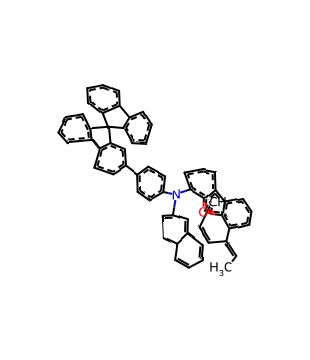 C#C/C=C\C(=C/C)c1cccc2c1oc1c(N(C3=CCC4C=CC=CC4=C3)c3ccc(-c4ccc5c(c4)C4(c6ccccc6-c6ccccc64)c4ccccc4-5)cc3)cccc12